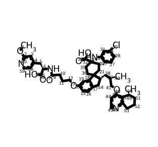 COc1cc(C[C@@H](NC(=O)CCCOc2ccc3c(c2)C2(CCC(Nc4cccc(Cl)c4)(C(=O)O)CC2)[C@@H](C[C@@H](C)COc2ccnc4c2[C@H](C)CCC4)C3)C(=O)O)ccn1